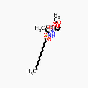 CCCCCCCCCCCCCCCS(=O)(=O)N[C@@H](CN[C@H]1CCO[C@]1(O)OC(C)=O)CC(C)C